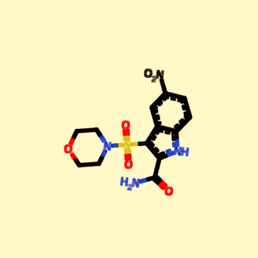 NC(=O)c1[nH]c2ccc([N+](=O)[O-])cc2c1S(=O)(=O)N1CCOCC1